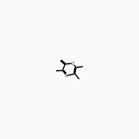 C=C1OC(C)=C(C)N=C1C